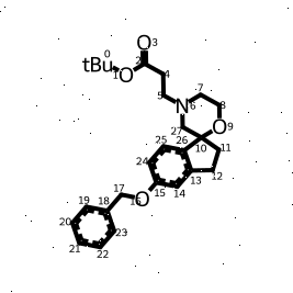 CC(C)(C)OC(=O)CCN1CCOC2(CCc3cc(OCc4ccccc4)ccc32)C1